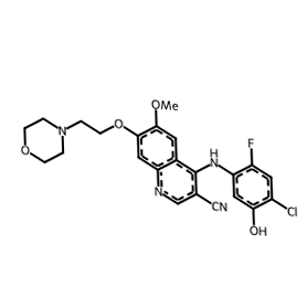 COc1cc2c(Nc3cc(O)c(Cl)cc3F)c(C#N)cnc2cc1OCCN1CCOCC1